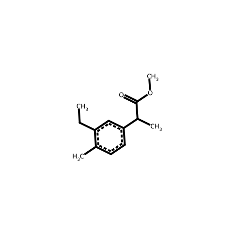 CCc1cc(C(C)C(=O)OC)ccc1C